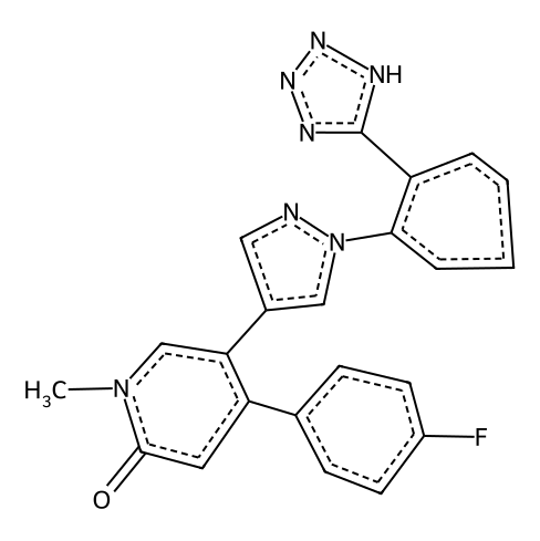 Cn1cc(-c2cnn(-c3ccccc3-c3nnn[nH]3)c2)c(-c2ccc(F)cc2)cc1=O